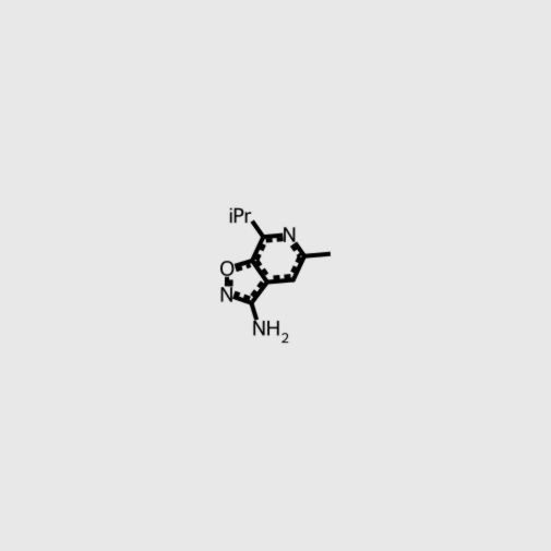 Cc1cc2c(N)noc2c(C(C)C)n1